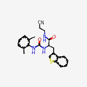 Cc1cccc(C)c1NC(=O)NC(Cc1csc2ccccc12)C(=O)NCCC#N